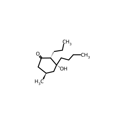 CCCC[C@@]1(O)C[C@@H](C)CC(=O)[C@@H]1CCC